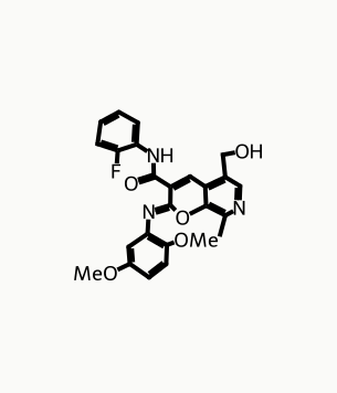 COc1ccc(OC)c(N=c2oc3c(C)ncc(CO)c3cc2C(=O)Nc2ccccc2F)c1